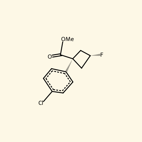 COC(=O)[C@]1(c2ccc(Cl)cc2)C[C@@H](F)C1